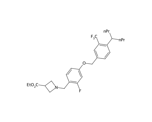 CCCC(CCC)c1ccc(COc2ccc(CN3CC(C(=O)OCC)C3)c(F)c2)cc1C(F)(F)F